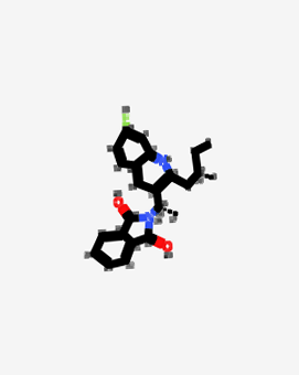 CC[C@H](C)Cc1nc2cc(F)ccc2cc1[C@H](C)N1C(=O)c2ccccc2C1=O